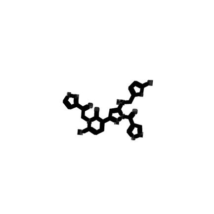 O=C(Cn1c(Br)ccc(-c2cc(NCc3ccc(Cl)s3)n(C(=O)c3cnsc3)n2)c1=O)c1ccsn1